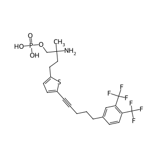 CC(N)(CCc1ccc(C#CCCCc2ccc(C(F)(F)F)c(C(F)(F)F)c2)s1)COP(=O)(O)O